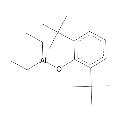 C[CH2][Al]([CH2]C)[O]c1c(C(C)(C)C)cccc1C(C)(C)C